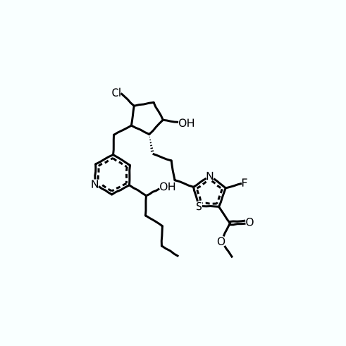 CCCCC(O)c1cncc(CC2C(Cl)CC(O)[C@@H]2CCCc2nc(F)c(C(=O)OC)s2)c1